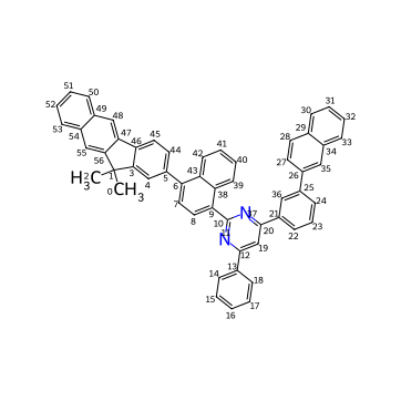 CC1(C)c2cc(-c3ccc(-c4nc(-c5ccccc5)cc(-c5cccc(-c6ccc7ccccc7c6)c5)n4)c4ccccc34)ccc2-c2cc3ccccc3cc21